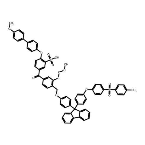 COc1ccc(-c2ccc(Oc3ccc(C(=O)c4ccc(COc5ccc(C6(c7ccc(Oc8ccc(S(=O)(=O)c9ccc(C)cc9)cc8)cc7)c7ccccc7-c7ccccc76)cc5)c(SOOO)c4)cc3S(=O)(=O)O)cc2)cc1